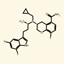 C[C@H](CCc1c[nH]c2c(F)cc(F)cc12)N(CC1CC1)[C@@H]1COc2c(F)ccc(C(N)=O)c2C1